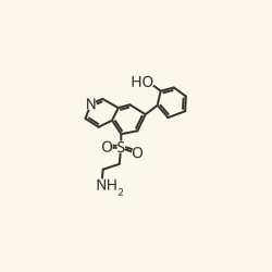 NCCS(=O)(=O)c1cc(-c2ccccc2O)cc2cnccc12